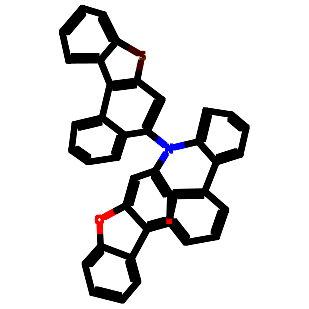 c1ccc(-c2ccccc2N(c2ccc3c(c2)oc2ccccc23)c2cc3sc4ccccc4c3c3ccccc23)cc1